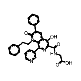 O=C(O)CNC(=O)c1nc(-c2cccnc2)c2c(cc(-c3ccccc3)c(=O)n2CCc2ccccc2)c1O